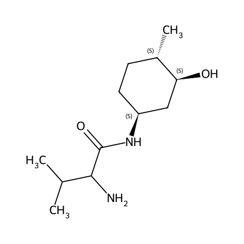 CC(C)C(N)C(=O)N[C@H]1CC[C@H](C)[C@@H](O)C1